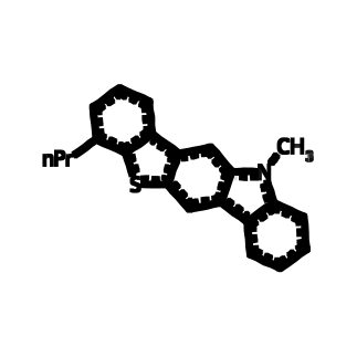 CCCc1cccc2c1sc1cc3c4ccccc4n(C)c3cc12